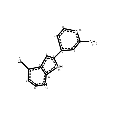 Nc1cc(-c2cc3c(Cl)ccnc3[nH]2)ccn1